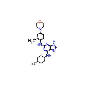 CCC1C[CH]C(Nc2nc(Nc3ccc(N4CCOCC4)cc3C)nc3[nH]cnc23)CC1